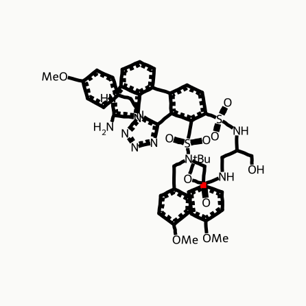 COc1ccc(CN(Cc2ccc(OC)cc2)S(=O)(=O)c2c(S(=O)(=O)NC(CO)CNC(=O)OC(C)(C)C)ccc(-c3cccc4[nH]c(N)nc34)c2-c2nnnn2Cc2ccc(OC)cc2)cc1